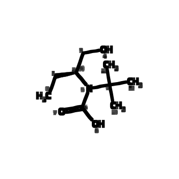 CC[C@@H](CO)N(C(=O)O)C(C)(C)C